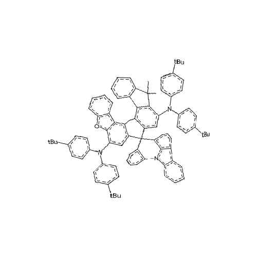 CC(C)(C)c1ccc(N(c2ccc(C(C)(C)C)cc2)c2cc3c(c4c2C(C)(C)c2ccccc2-4)-c2c(cc(N(c4ccc(C(C)(C)C)cc4)c4ccc(C(C)(C)C)cc4)c4oc5ccccc5c24)C32c3ccccc3-n3c4ccccc4c4cccc2c43)cc1